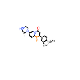 CCC(C)c1cc(C2=CC(=O)N3C=C(N4CCNC[C@H]4C)C=CC3P2)ccc1OC